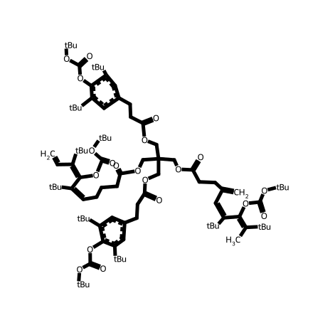 C=C/C(=C(OC(=O)OC(C)(C)C)\C(=C/CCCC(=O)OCC(COC(=O)CCC(=C)/C=C(\C(OC(=O)OC(C)(C)C)=C(/C)C(C)(C)C)C(C)(C)C)(COC(=O)CCc1cc(C(C)(C)C)c(OC(=O)OC(C)(C)C)c(C(C)(C)C)c1)COC(=O)CCc1cc(C(C)(C)C)c(OC(=O)OC(C)(C)C)c(C(C)(C)C)c1)C(C)(C)C)C(C)(C)C